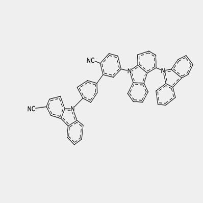 N#Cc1ccc2c(c1)c1ccccc1n2-c1ccc(-c2cc(-n3c4ccccc4c4c(-n5c6ccccc6c6ccccc65)cccc43)ccc2C#N)cc1